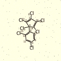 ClC1=C(Cl)C(Cl)(c2ccc(Cl)cc2Cl)C(Cl)=C1Cl